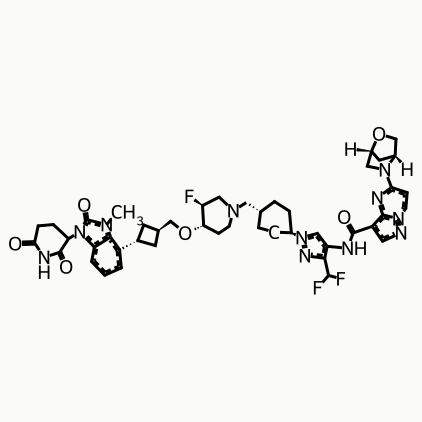 Cn1c(=O)n(C2CCC(=O)NC2=O)c2cccc([C@H]3C[C@H](CO[C@H]4CCN(C[C@H]5CC[C@H](n6cc(NC(=O)c7cnn8ccc(N9C[C@H]%10C[C@@H]9CO%10)nc78)c(C(F)F)n6)CC5)C[C@@H]4F)C3)c21